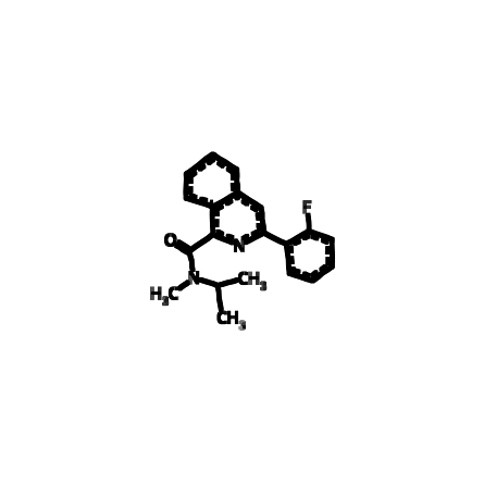 CC(C)N(C)C(=O)c1nc(-c2ccccc2F)cc2ccccc12